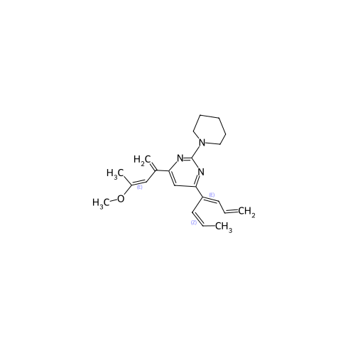 C=C/C=C(\C=C/C)c1cc(C(=C)/C=C(\C)OC)nc(N2CCCCC2)n1